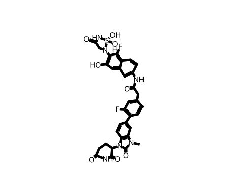 Cn1c(=O)n(C2CCC(=O)NC2=O)c2ccc(-c3ccc(CC(=O)Nc4ccc5c(F)c(N6CC(=O)NS6(O)O)c(O)cc5c4)cc3F)cc21